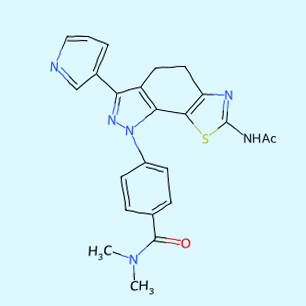 CC(=O)Nc1nc2c(s1)-c1c(c(-c3cccnc3)nn1-c1ccc(C(=O)N(C)C)cc1)CC2